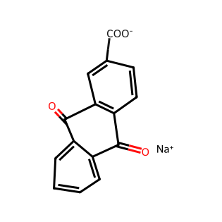 O=C([O-])c1ccc2c(c1)C(=O)c1ccccc1C2=O.[Na+]